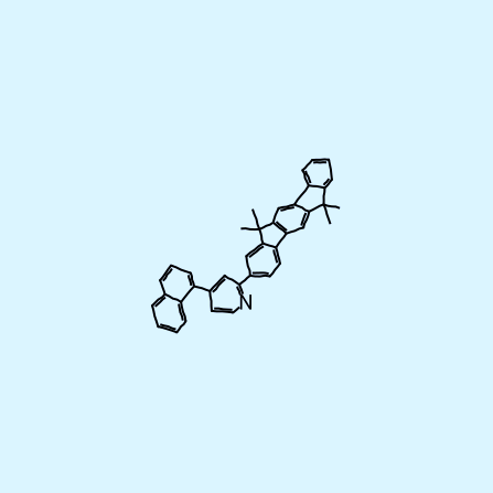 CC1(C)c2ccccc2-c2cc3c(cc21)-c1ccc(-c2cc(-c4cccc5ccccc45)ccn2)cc1C3(C)C